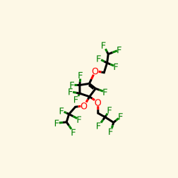 FC1=C(OCC(F)(F)C(F)F)C(F)(F)C(F)(F)C1(OCC(F)(F)C(F)F)OCC(F)(F)C(F)F